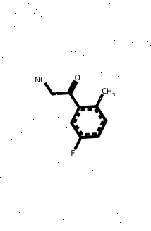 Cc1ccc(F)cc1C(=O)CC#N